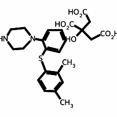 Cc1ccc(Sc2ccccc2N2CCNCC2)c(C)c1.O=C(O)CC(O)(CC(=O)O)C(=O)O